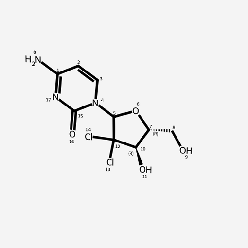 Nc1ccn(C2O[C@H](CO)[C@@H](O)C2(Cl)Cl)c(=O)n1